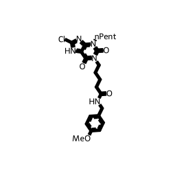 CCCCCn1c(=O)n(CCCCC(=O)NCc2ccc(OC)cc2)c(=O)c2[nH]c(Cl)nc21